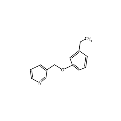 CCc1cccc(OCc2cccnc2)c1